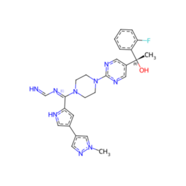 Cn1cc(-c2c[nH]c(/C(=N\C=N)N3CCN(c4ncc([C@@](C)(O)c5ccccc5F)cn4)CC3)c2)cn1